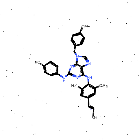 COc1ccc(Cn2cnc3c(Nc4c(C)cc(/C=C/C#N)cc4OC)nc(Nc4ccc(C#N)cc4)nc32)cc1